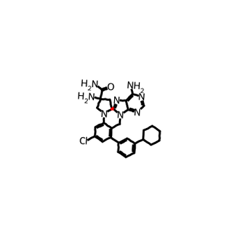 NC(=O)C1(N)CCN(c2cc(Cl)cc(-c3cccc(C4CCCCC4)c3)c2Cn2cnc3c(N)ncnc32)C1